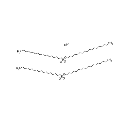 CCCCCCCCCCCCCCCCCCOP(=O)([O-])CCCCCCCCCCCCCCCCCC.CCCCCCCCCCCCCCCCCCOP(=O)([O-])CCCCCCCCCCCCCCCCCC.[Ni+2]